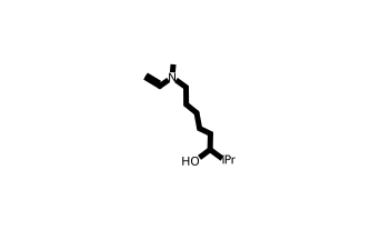 C=CN(C)CCCCCC(O)C(C)C